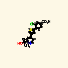 CC(C)(O)c1cc(-c2csc(-c3ccc(C(=O)O)cc3Cl)c2)ccn1